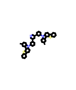 Cc1ccc2c(c1)c1c3sc4ccccc4c3ccc1n2-c1cccc(-c2cncc(-c3cccc(-n4c5ccc(C)cc5c5c6sc7ccccc7c6ccc54)c3)c2)c1